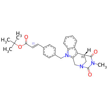 CN1C(=O)[C@@H]2CN(Cc3c2c2ccccc2n3Cc2ccc(/C=C/C(=O)OC(C)(C)C)cc2)C1=O